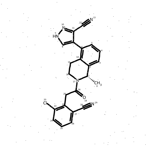 C[C@H]1c2cccc(-c3c[nH]nc3C#N)c2CCN1C(=O)Cc1c(Cl)cccc1C#N